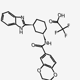 O=C(N[C@@H]1CCC[C@H](c2nc3ccccc3[nH]2)C1)c1ccc2c(c1)OCCO2.O=C(O)C(F)(F)F